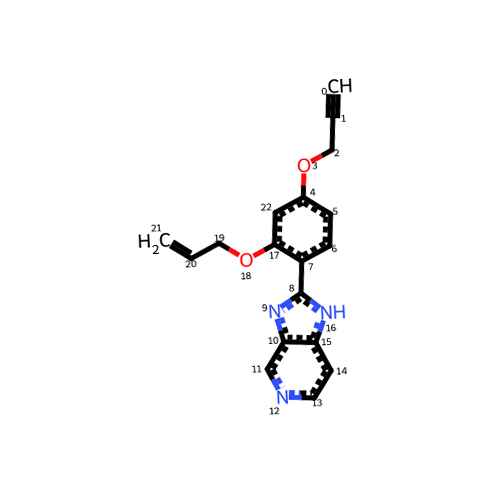 C#CCOc1ccc(-c2nc3cnccc3[nH]2)c(OCC=C)c1